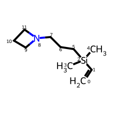 C=C[Si](C)(C)CCCN1CCC1